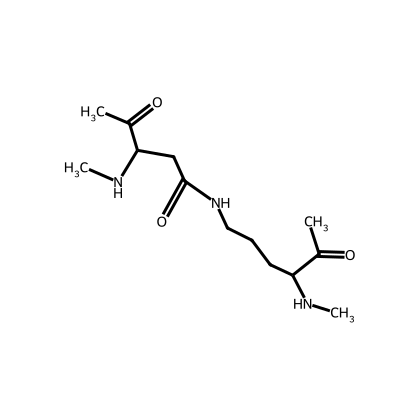 CNC(CCCNC(=O)CC(NC)C(C)=O)C(C)=O